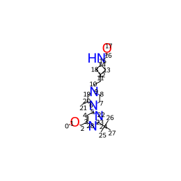 COCc1cc(N2CCN(CCC3CC(NC=O)C3)CC2C)nc(C(C)(C)C)n1